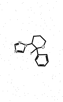 IC1(c2ccccc2)OCCCC1n1cncn1